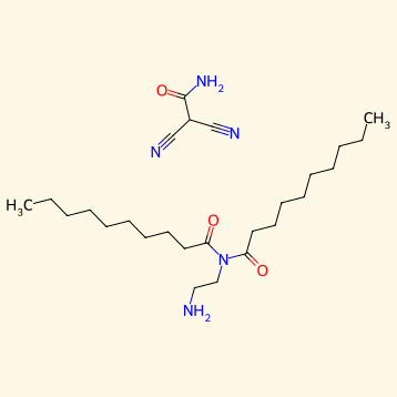 CCCCCCCCCC(=O)N(CCN)C(=O)CCCCCCCCC.N#CC(C#N)C(N)=O